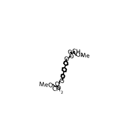 C=C(COC)C(=O)OCCOc1ccc(-c2ccc(-c3ccc(OCCOC(=O)C(=C)COC)cc3)cc2)cc1